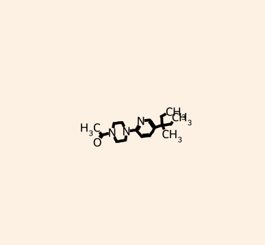 CCC(C)(CC)c1ccc(N2CCN(C(C)=O)CC2)nc1